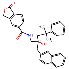 CC(C)(C[C@@](O)(CNC(=O)c1ccc2c(c1)COC2=O)Cc1ccc2ccccc2c1)c1ccccc1